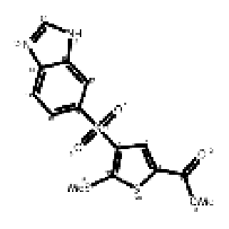 COC(=O)c1cc(S(=O)(=O)c2ccc3nc[nH]c3c2)c(SC)s1